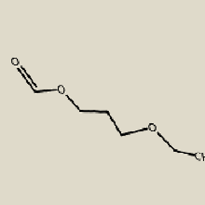 CCOCCCOC=O